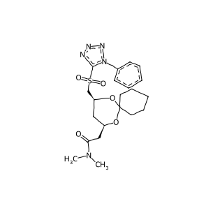 CN(C)C(=O)C[C@H]1C[C@@H](CS(=O)(=O)c2nnnn2-c2ccccc2)OC2(CCCCC2)O1